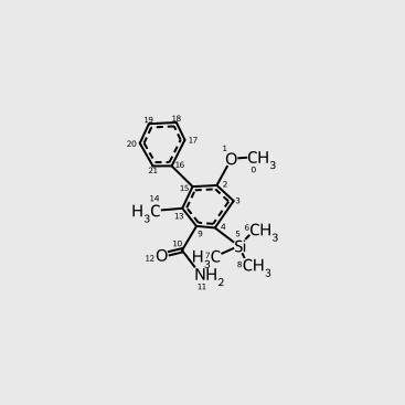 COc1cc([Si](C)(C)C)c(C(N)=O)c(C)c1-c1ccccc1